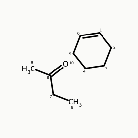 C1=CCCCC1.CCC(C)=O